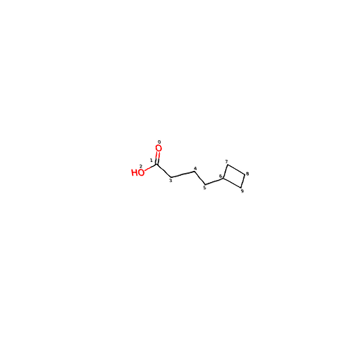 O=C(O)CCCC1CCC1